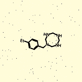 CCc1ccc(CN2CNCNCNC2)cc1